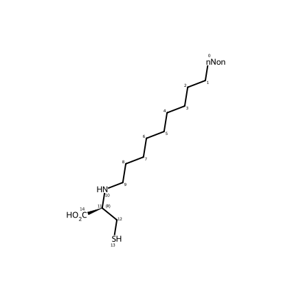 CCCCCCCCCCCCCCCCCCN[C@@H](CS)C(=O)O